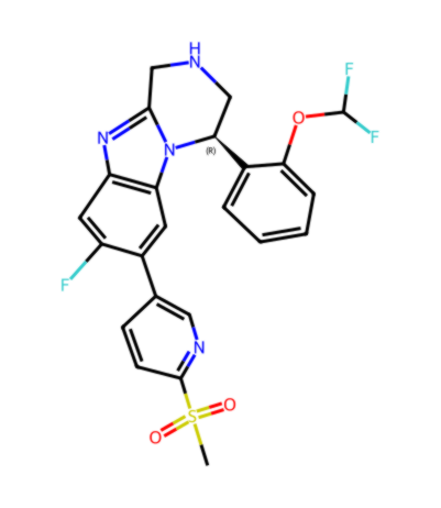 CS(=O)(=O)c1ccc(-c2cc3c(cc2F)nc2n3[C@H](c3ccccc3OC(F)F)CNC2)cn1